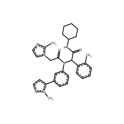 Cc1ccccc1C(C(=O)NC1CCCCC1)N(C(=O)Cn1ccnc1C)c1cccc(-c2ccnn2C)c1